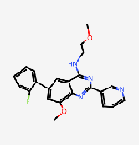 COCCNc1nc(-c2cccnc2)nc2c(OC)cc(-c3ccccc3F)cc12